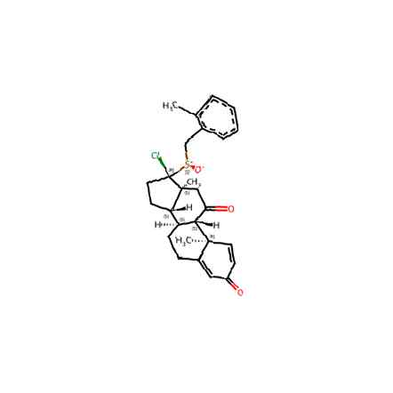 Cc1ccccc1C[S@@+]([O-])[C@@]1(Cl)CC[C@H]2[C@@H]3CCC4=CC(=O)C=C[C@]4(C)[C@H]3C(=O)C[C@@]21C